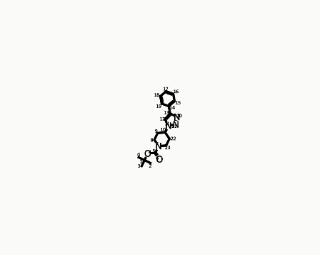 CC(C)(C)OC(=O)N1CCC(n2cc(-c3ccccc3)nn2)CC1